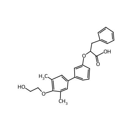 Cc1cc(-c2cccc(OC(Cc3ccccc3)C(=O)O)c2)cc(C)c1OCCO